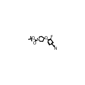 CC(C)(C)OC(=O)N1CCC(Oc2ccc(C#N)cc2F)CC1